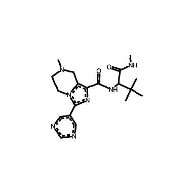 CNC(=O)C(NC(=O)c1nc(-c2cncnc2)n2c1CN(C)CC2)C(C)(C)C